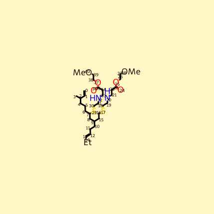 C=CC(C)CCCC(CC(CC/C=C/CC)CCSCCNCCC(=O)OCCOC)SCCNCCC(=O)OCCOC